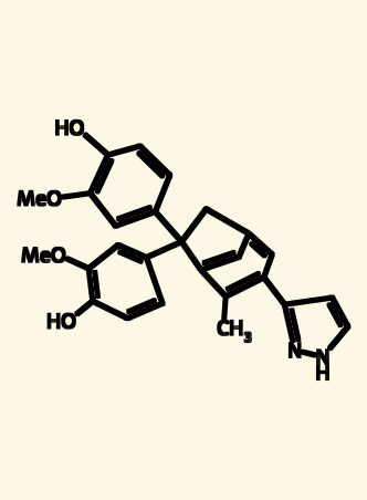 COc1cc(C2(c3ccc(O)c(OC)c3)Cc3cc(-c4cc[nH]n4)c(C)c2c3)ccc1O